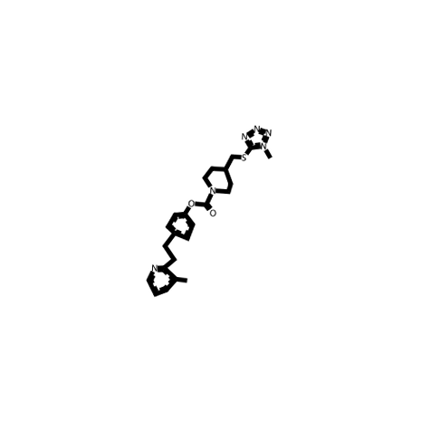 Cc1cccnc1CCc1ccc(OC(=O)N2CCC(CSc3nnnn3C)CC2)cc1